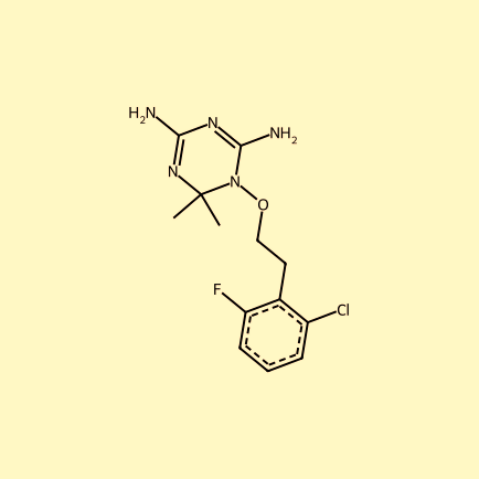 CC1(C)N=C(N)N=C(N)N1OCCc1c(F)cccc1Cl